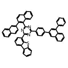 c1ccc(-c2cc(-c3ccc(-c4nc(-c5c(-c6ccc7ccccc7c6)ccc6ccccc56)nc(-c5cccc6c5sc5ccccc56)n4)cc3)cc3ccccc23)cc1